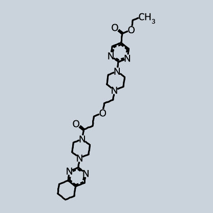 CCOC(=O)c1cnc(N2CCN(CCOCCC(=O)N3CCN(c4ncc5c(n4)CCCC5)CC3)CC2)nc1